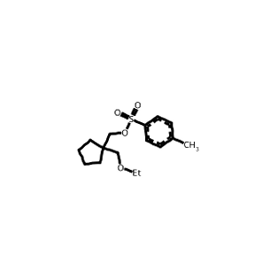 CCOCC1(COS(=O)(=O)c2ccc(C)cc2)CCCC1